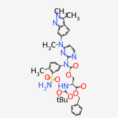 Cc1ccc(N(C(=O)OC[C@H](NC(=O)OC(C)(C)C)C(=O)OCc2ccccc2)c2nccc(N(C)c3ccc4c(C)n(C)nc4c3)n2)cc1S(N)(=O)=O